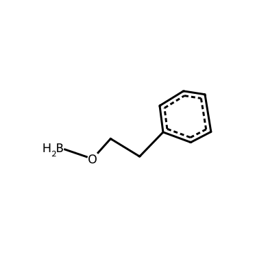 BOCCc1ccccc1